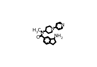 CN(C(=O)c1ccc2c(c1)C(N)CC2)C1CCN(c2ccncc2)CC1